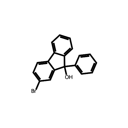 OC1(c2ccccc2)c2ccccc2-c2ccc(Br)cc21